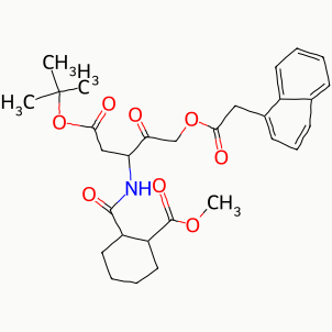 COC(=O)C1CCCCC1C(=O)NC(CC(=O)OC(C)(C)C)C(=O)COC(=O)Cc1cccc2ccccc12